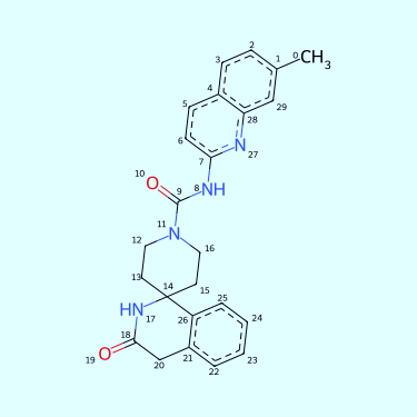 Cc1ccc2ccc(NC(=O)N3CCC4(CC3)NC(=O)Cc3ccccc34)nc2c1